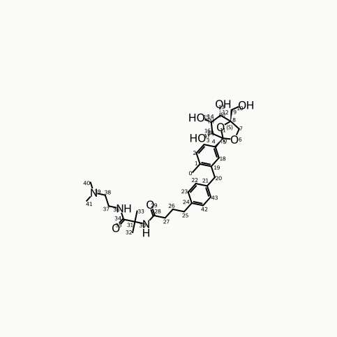 Cc1ccc([C@]23OC[C@](CO)(O2)[C@@H](O)[C@H](O)[C@H]3O)cc1Cc1ccc(CCCC(=O)NC(C)(C)C(=O)NCCN(C)C)cc1